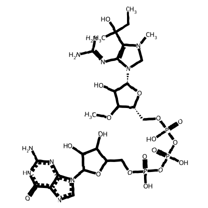 CCC(C)(O)C1=C(N=C(N)N)N([C@@H]2O[C@H](COP(=O)(O)OP(=O)(O)OP(=O)(O)OCC3OC(n4cnc5c(=O)[nH]c(N)nc54)C(O)C3O)C(OC)C2O)CN1C